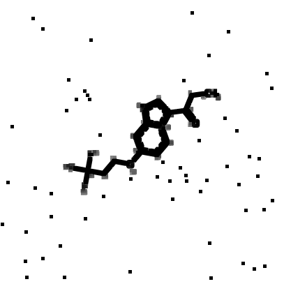 CCC(=O)c1cnc2cc(OCCC(F)(F)F)ccn12